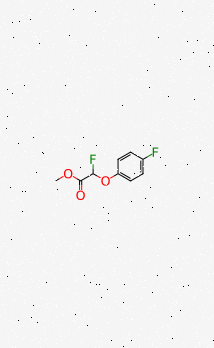 COC(=O)C(F)Oc1ccc(F)cc1